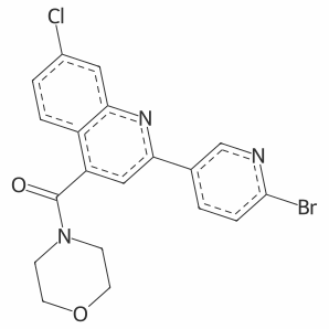 O=C(c1cc(-c2ccc(Br)nc2)nc2cc(Cl)ccc12)N1CCOCC1